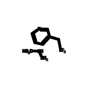 FC(F)(F)Cc1cccnc1.NNC(=O)O